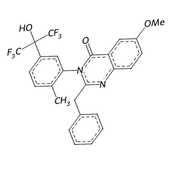 COc1ccc2nc(Cc3ccccc3)n(-c3cc(C(O)(C(F)(F)F)C(F)(F)F)ccc3C)c(=O)c2c1